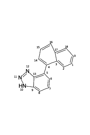 c1ccc2c(-c3cccc4[nH]nnc34)cccc2c1